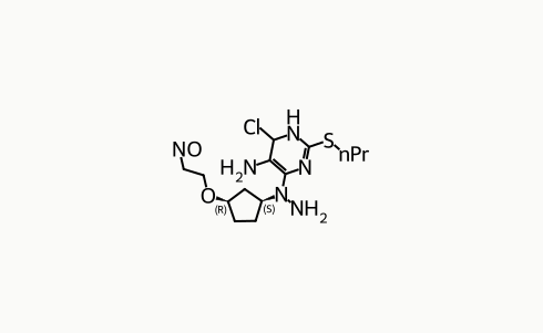 CCCSC1=NC(N(N)[C@H]2CC[C@@H](OCCN=O)C2)=C(N)C(Cl)N1